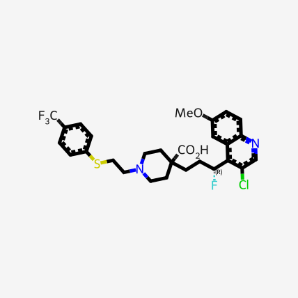 COc1ccc2ncc(Cl)c([C@H](F)CCC3(C(=O)O)CCN(CCSc4ccc(C(F)(F)F)cc4)CC3)c2c1